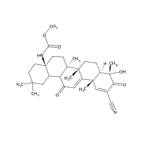 COC(=O)N[C@]12CCC(C)(C)CC1C1C(=O)C=C3[C@@]4(C)C=C(C#N)C(=O)[C@@](C)(O)[C@@H]4CC[C@@]3(C)[C@]1(C)CC2